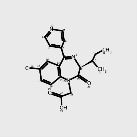 CCC(C)[C@@H]1N=C(c2ccncc2)c2cc(Cl)ccc2N(CC(=O)O)C1=O